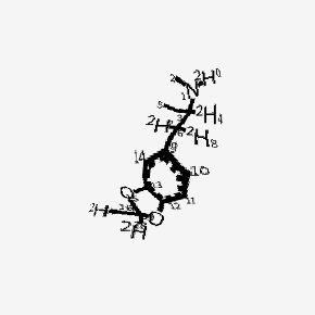 [2H]N(C)C([2H])(C)C([2H])([2H])c1ccc2c(c1)OC([2H])([2H])O2